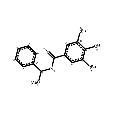 COC(SC(=S)c1cc(C(C)(C)C)c(O)c(C(C)(C)C)c1)c1ccccc1